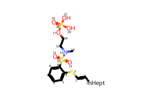 CCCCCCCC=CSc1ccccc1S(=O)(=O)N(C)CCOP(=O)(O)O